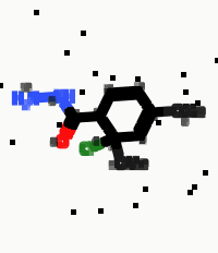 COC1=CC(Cl)(OC)C(C(=O)NN)C=C1